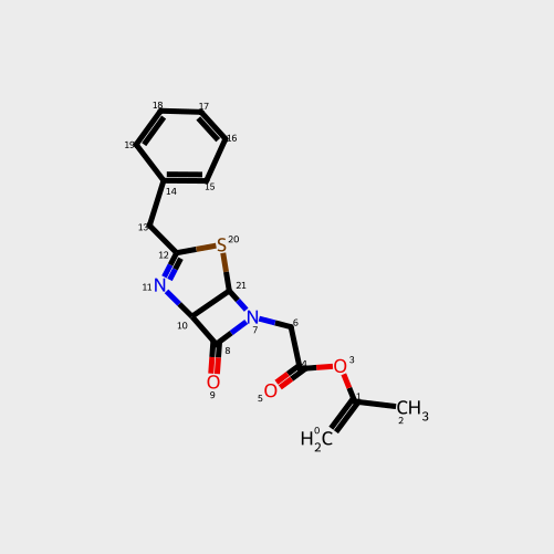 C=C(C)OC(=O)CN1C(=O)C2N=C(Cc3ccccc3)SC21